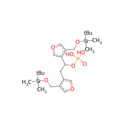 CC(C)(C)[Si](C)(C)OCc1cocc1CC(OP(=O)(O)O)c1cocc1CO[Si](C)(C)C(C)(C)C